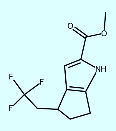 COC(=O)c1cc2c([nH]1)CCC2CC(F)(F)F